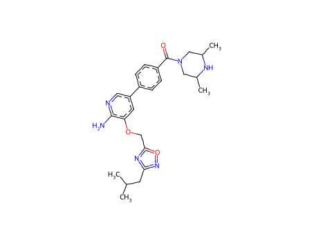 CC(C)Cc1noc(COc2cc(-c3ccc(C(=O)N4CC(C)NC(C)C4)cc3)cnc2N)n1